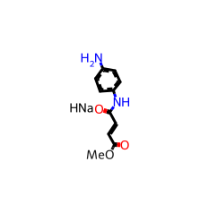 COC(=O)C=CC(=O)Nc1ccc(N)cc1.[NaH]